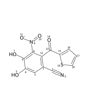 N#Cc1cc(O)c(O)c([N+](=O)[O-])c1C(=O)c1cccs1